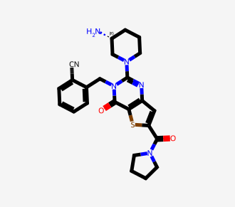 N#Cc1ccccc1Cn1c(N2CCC[C@@H](N)C2)nc2cc(C(=O)N3CCCC3)sc2c1=O